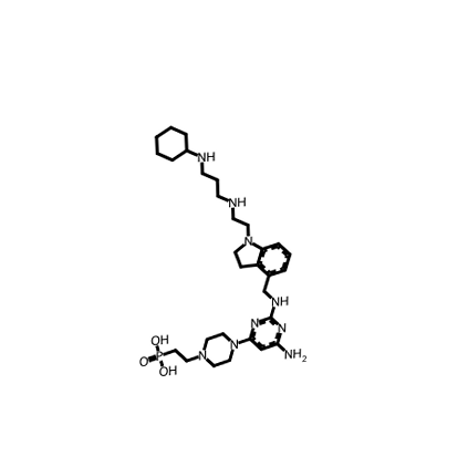 Nc1cc(N2CCN(CCP(=O)(O)O)CC2)nc(NCc2cccc3c2CCN3CCNCCCNC2CCCCC2)n1